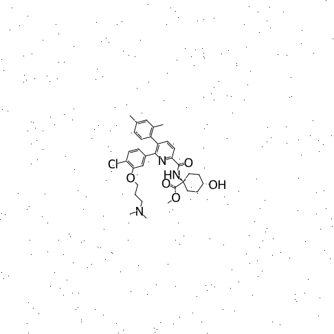 COC(=O)[C@]1(NC(=O)c2ccc(-c3ccc(C)cc3C)c(-c3ccc(Cl)c(OCCCN(C)C)c3)n2)CC[C@H](O)CC1